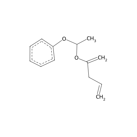 C=CCC(=C)OC(C)Oc1ccccc1